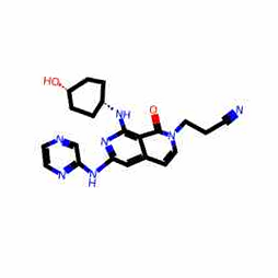 N#CCCn1ccc2cc(Nc3cnccn3)nc(N[C@H]3CC[C@@H](O)CC3)c2c1=O